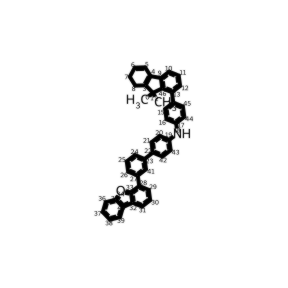 CC1(C)C2=C(C=CCC2)c2cccc(-c3ccc(Nc4ccc(-c5cccc(-c6cccc7c6oc6ccccc67)c5)cc4)cc3)c21